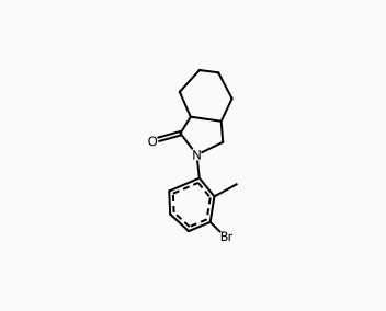 Cc1c(Br)cccc1N1CC2CCCCC2C1=O